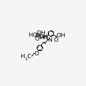 CCCOc1ccc(/C=C/c2nc3c(C(=O)O)cccc3[nH]2)cc1.O=P(O)(O)O